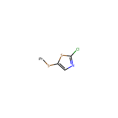 CC(C)Sc1cnc(Cl)s1